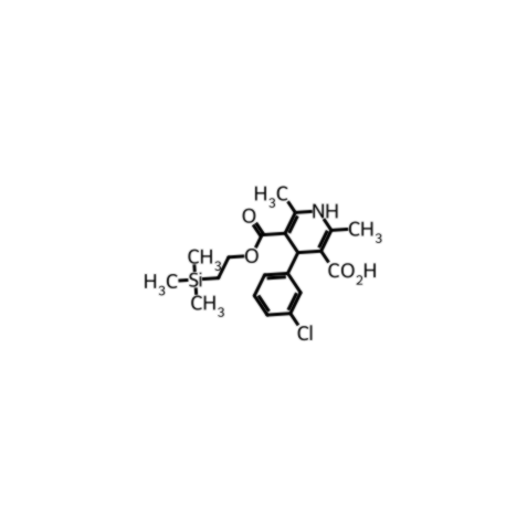 CC1=C(C(=O)O)C(c2cccc(Cl)c2)C(C(=O)OCC[Si](C)(C)C)=C(C)N1